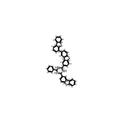 c1ccc(C2NC(c3ccc4sc5ccccc5c4c3)NC(c3ccc4sc5ccc(-c6cccc7c6sc6ccccc67)cc5c4c3)N2)cc1